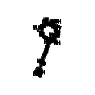 CC[C@@H]1NC(=O)[C@H](CC(C)C)NC(=O)[C@H](Cc2ccc(O)cc2)NC(=O)[C@H](Cc2ccccc2)NC(=O)[C@@H](N)Cc2cn(nn2)CCCC[C@@H](C(=O)NCCCOCCOCCOCCCNC(=O)CCCC[C@H]2SC[C@H]3NC(=O)N[C@H]32)NC(=O)[C@H](Cc2c[nH]cn2)NC1=O